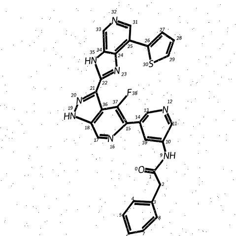 O=C(Cc1ccccc1)Nc1cncc(-c2ncc3[nH]nc(-c4nc5c(-c6cccs6)cncc5[nH]4)c3c2F)c1